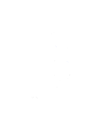 CNCCCOc1cc2sc(C3=NC(C(C)=O)CS3)nc2cc1F